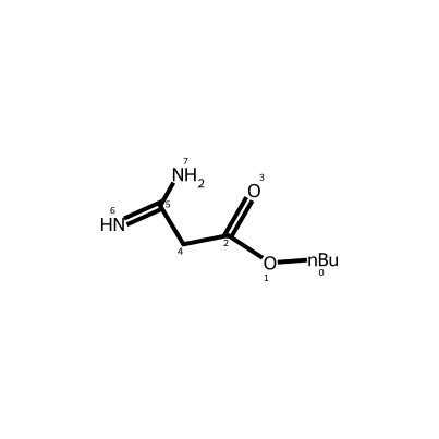 CCCCOC(=O)CC(=N)N